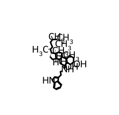 CC(C)[C@H](C)CC[C@@H](C)[C@H]1CC[C@H]2[C@@H]3CC(NCCc4c[nH]c5ccccc45)C4(O)CC(O)CC[C@]4(C)[C@H]3CC[C@]12C